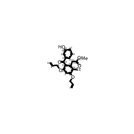 C=CCOc1cc(OCC=C)c(C(=O)c2cccc(O)c2)c(CC(=O)OC)c1CC